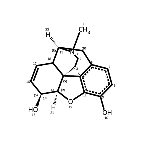 CN1CC[C@]23c4c5ccc(O)c4O[C@H]2[C@@H](O)C=CC3[C@H]1C5